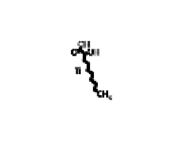 CCCCCCCCC(O)C(=O)O.[Ti]